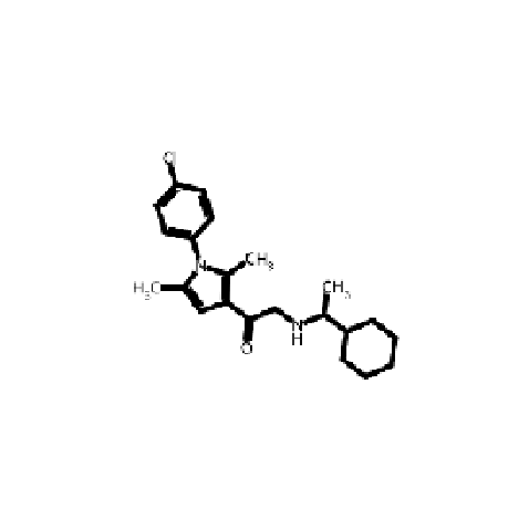 Cc1cc(C(=O)CNC(C)C2CCCCC2)c(C)n1-c1ccc(Cl)cc1